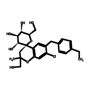 CCc1ccc(Cc2cc3c(cc2Cl)OC(C)(CO)C[C@]32O[C@H](CO)[C@@H](O)[C@H](O)[C@H]2O)cc1